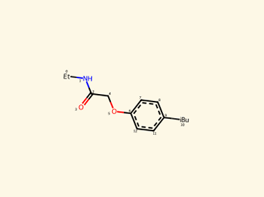 CCNC(=O)COc1ccc(C(C)CC)cc1